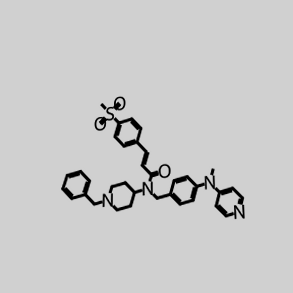 CN(c1ccncc1)c1ccc(CN(C(=O)C=Cc2ccc(S(C)(=O)=O)cc2)C2CCN(Cc3ccccc3)CC2)cc1